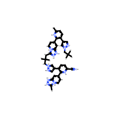 Cc1ccc(-c2cnn(CC(C)(C)C)c2)c(-c2ccn3c(CC(C)(C)Cn4cc(-c5ccc(C#N)nc5-c5ccn6c(C)nnc6c5)cn4)nnc3c2)n1